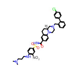 CN(C)CCCNc1ccc(S(=O)(=O)NC(=O)c2ccc3c(c2)CC[C@H]2CN(Cc4ccccc4-c4ccc(Cl)cc4)CCN32)cc1[N+](=O)[O-]